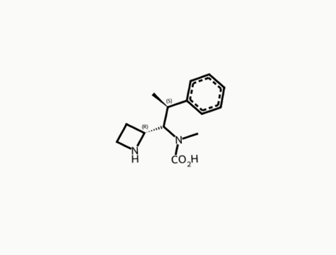 C[C@@H](c1ccccc1)C([C@H]1CCN1)N(C)C(=O)O